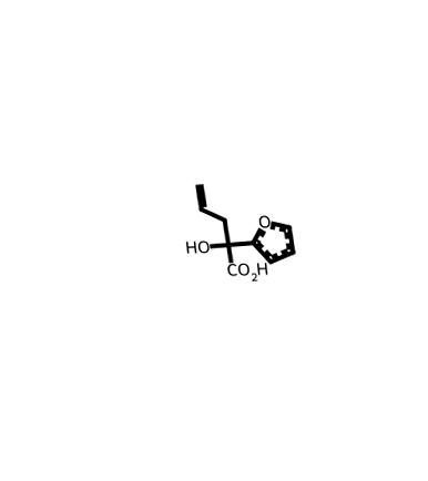 C=CCC(O)(C(=O)O)c1ccco1